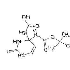 CC(C)(C)OC(=O)NC1(NC(=O)O)C=CNC(=O)N1